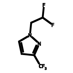 FC(F)Cn1ccc(C(F)(F)F)n1